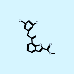 C=C(Cc1cc(Cl)cc(Cl)c1)c1cccc2cc(C(=O)OC)oc12